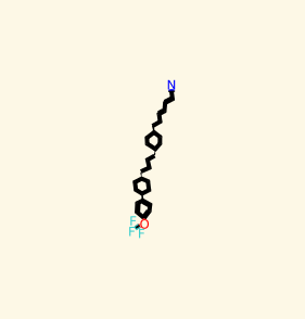 N#C/C=C/C=C/CC[C@H]1CC[C@H](CCCC[C@H]2CC[C@H](c3ccc(OC(F)(F)F)cc3)CC2)CC1